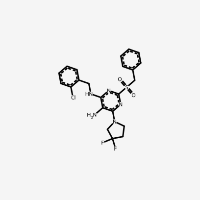 Nc1c(NCc2ccccc2Cl)nc(S(=O)(=O)Cc2ccccc2)nc1N1CCC(F)(F)C1